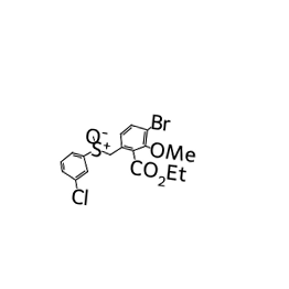 CCOC(=O)c1c(C[S+]([O-])c2cccc(Cl)c2)ccc(Br)c1OC